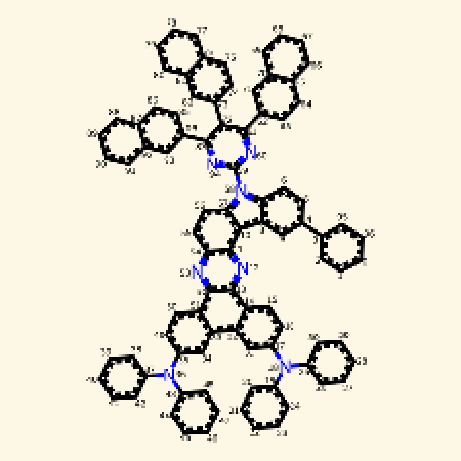 c1ccc(-c2ccc3c(c2)c2c4nc5c6ccc(N(c7ccccc7)c7ccccc7)cc6c6cc(N(c7ccccc7)c7ccccc7)ccc6c5nc4ccc2n3-c2nc(-c3ccc4ccccc4c3)c(-c3ccc4ccccc4c3)c(-c3ccc4ccccc4c3)n2)cc1